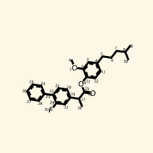 COc1cc(CCCC(C)C)ccc1OC(=O)C(C)c1ccc(-c2ccccc2)c(F)c1